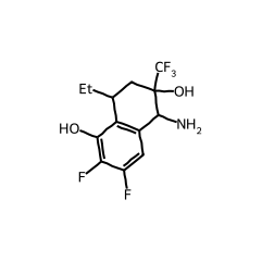 CCC1CC(O)(C(F)(F)F)C(N)c2cc(F)c(F)c(O)c21